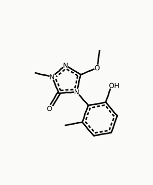 COc1nn(C)c(=O)n1-c1c(C)cccc1O